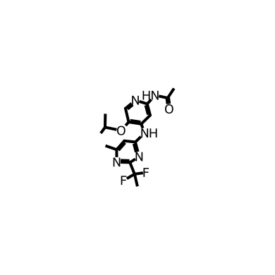 CC(=O)Nc1cc(Nc2cc(C)nc(C(C)(F)F)n2)c(OC(C)C)cn1